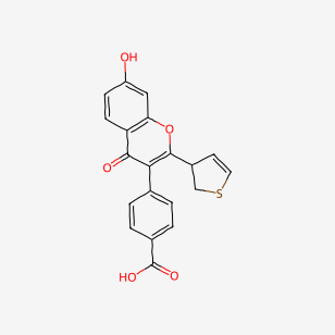 O=C(O)c1ccc(-c2c(C3C=CSC3)oc3cc(O)ccc3c2=O)cc1